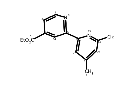 CCOC(=O)c1ccnc(-c2cc(C)cc(Cl)n2)c1